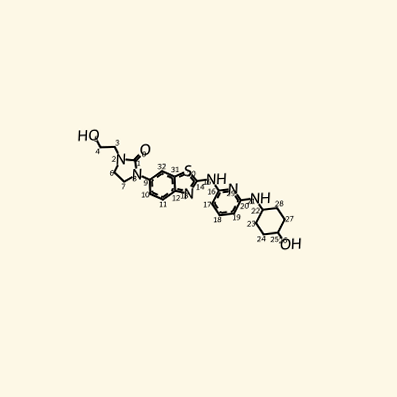 O=C1N(CCO)CCN1c1ccc2nc(Nc3cccc(NC4CCC(O)CC4)n3)sc2c1